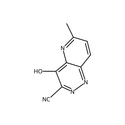 Cc1ccc2nnc(C#N)c(O)c2n1